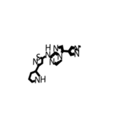 Cn1cc(-c2cnc3c(NC4CC(C5CCCNC5)=NS4)nccn23)cn1